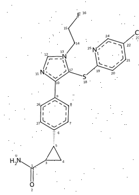 NC(=O)C1C[C@H]1c1ccc(-c2ncn(CCF)c2Sc2ccc(Cl)cn2)cc1